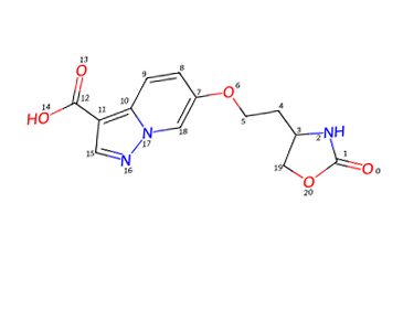 O=C1NC(CCOc2ccc3c(C(=O)O)cnn3c2)CO1